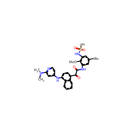 CCCS(=O)(=O)Nc1cc(C(C)(C)C)cc(NC(=O)C(=O)c2ccc(Nc3ccnc(N(C)C)c3)c3ccccc23)c1OC